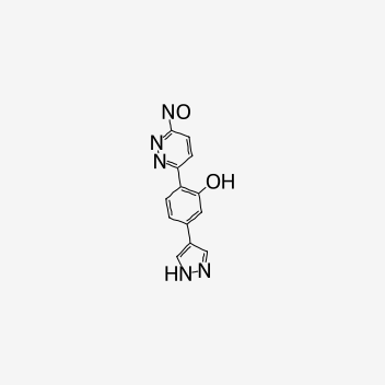 O=Nc1ccc(-c2ccc(-c3cn[nH]c3)cc2O)nn1